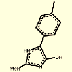 CNc1nc(O)c(-c2ccc(C)cc2)[nH]1